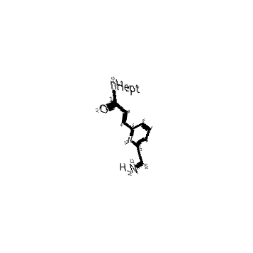 CCCCCCCC(=O)C=Cc1cccc(CN)n1